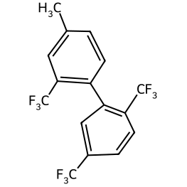 Cc1ccc(-c2cc(C(F)(F)F)ccc2C(F)(F)F)c(C(F)(F)F)c1